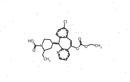 CCOC(=O)OC1=Cc2cc(Cl)ccc2C(=C2CCN(C(=O)O)C(CC)C2)c2ncccc21